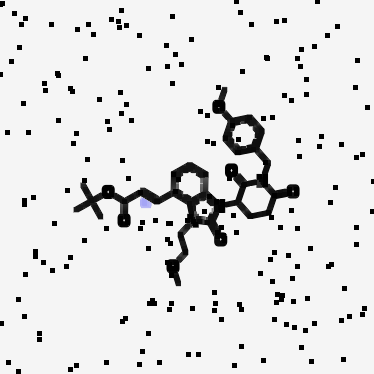 COCCn1c(=O)n(C2CCC(=O)N(Cc3ccc(OC)cc3)C2=O)c2cccc(/C=C/C(=O)OC(C)(C)C)c21